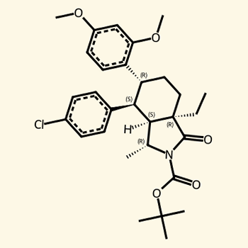 CC[C@@]12CC[C@@H](c3ccc(OC)cc3OC)[C@H](c3ccc(Cl)cc3)[C@@H]1[C@@H](C)N(C(=O)OC(C)(C)C)C2=O